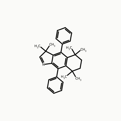 CC1(C)C=Nc2c(-c3ccccc3)c3c(c(-c4ccccc4)c21)C(C)(C)CCC3(C)C